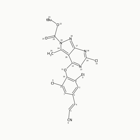 CCc1cc(/C=C/C#N)cc(Cl)c1Oc1nc(Cl)nc2nn(C(=O)OC(C)(C)C)c(C)c12